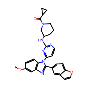 COc1ccc2c(c1)nc(-c1ccc3occc3c1)n2-c1ccnc(NC2CCCN(C(=O)C3CC3)C2)n1